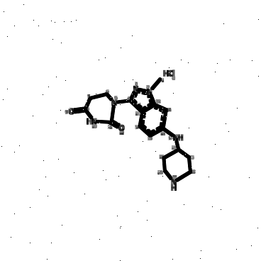 Cl.Cn1nc(N2CCC(=O)NC2=O)c2ccc(NC3CCNCC3)cc21